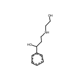 OCCNCCC(O)c1ccccc1